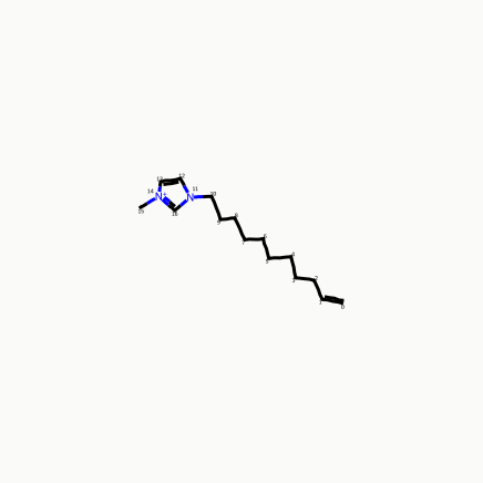 C=CCCCCCCCCCn1cc[n+](C)c1